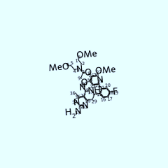 COCCN(CCOC)C(=O)CO/N=C1\N[C@@H](c2ccc(F)cc2-c2cccc(OC)n2)Cc2nc(N)nc(C)c21